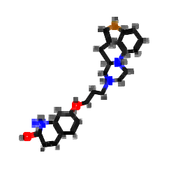 O=c1ccc2ccc(OCCCN3CCN4c5cccc6scc(c56)CC4C3)cc2[nH]1